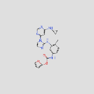 Cc1ccc(NC(=O)Oc2ccco2)cc1Nc1nccn1-c1cc(NC2CC2)ncn1